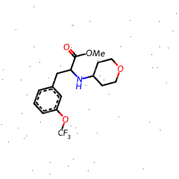 COC(=O)C(Cc1cccc(OC(F)(F)F)c1)NC1CCOCC1